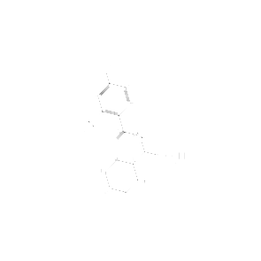 Nc1cc(F)ccc1C(=O)NC(C(=O)O)C1CCCCC1